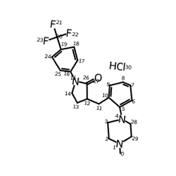 CN1CCN(c2ccccc2CC2CCN(c3ccc(C(F)(F)F)cc3)C2=O)CC1.Cl